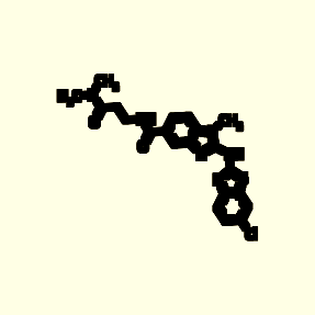 CN(C)C(=O)CCNC(=O)c1ccc2c(c1)nc(Nc1nc3ccc(Cl)cc3s1)n2C